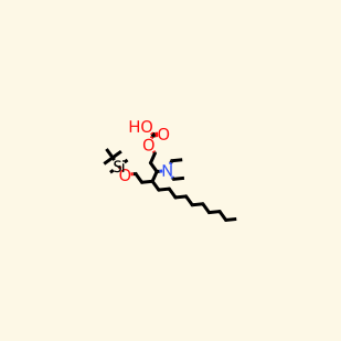 CCCCCCCCCCC(CCO[Si](C)(C)C(C)(C)C)C(CCOC(=O)O)N(CC)CC